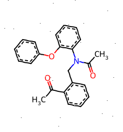 CC(=O)c1ccccc1CN(C(C)=O)c1ccccc1Oc1ccccc1